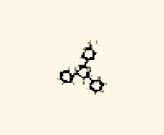 Cc1ccc(C2=NC(c3ccccc3)NC(c3ccccc3)=N2)cn1